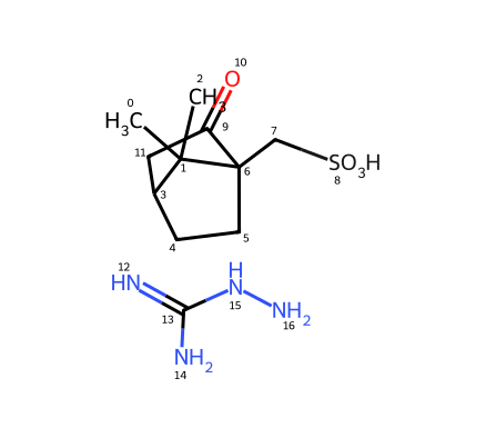 CC1(C)C2CCC1(CS(=O)(=O)O)C(=O)C2.N=C(N)NN